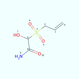 C=CCS(=O)(=O)C(O)C(N)=O